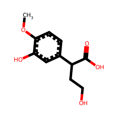 COc1ccc(C(CCO)C(=O)O)cc1O